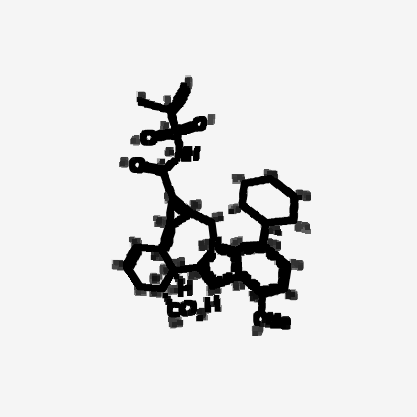 C=C(C)S(=O)(=O)NC(=O)C1=C2Cn3c(cc4c(OC)ccc(C5CCCCC5)c43)[C@@H]3C(=C21)C=CC[C@H]3C(=O)O